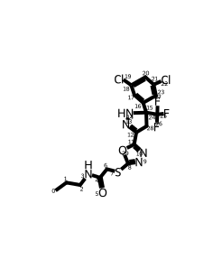 CCCNC(=O)CSc1nnc(C2=NNC(c3cc(Cl)cc(Cl)c3)(C(F)(F)F)C2)o1